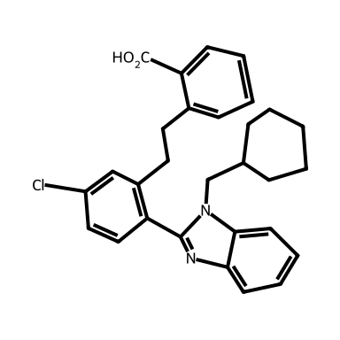 O=C(O)c1ccccc1CCc1cc(Cl)ccc1-c1nc2ccccc2n1CC1CCCCC1